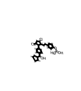 OC(c1ccc(C2C(Cl)CC(Cl)C2CCc2ccc(OP(O)O)cc2)cc1)C1CCCC1